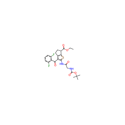 CCOC(=O)C1CCc2c1sc(NC(=O)CNC(=O)OC(C)(C)C)c2C(=O)c1c(F)cccc1F